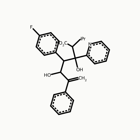 C=C(c1ccccc1)C(O)C(c1ccc(F)cc1)C(O)(c1ccccn1)C(C(=O)O)C(C)C